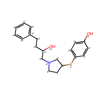 Oc1ccc(SC2CCN(CC(O)CCc3ccccc3)C2)cc1